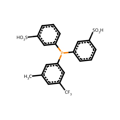 Cc1cc(P(c2cccc(S(=O)(=O)O)c2)c2cccc(S(=O)(=O)O)c2)cc(C(F)(F)F)c1